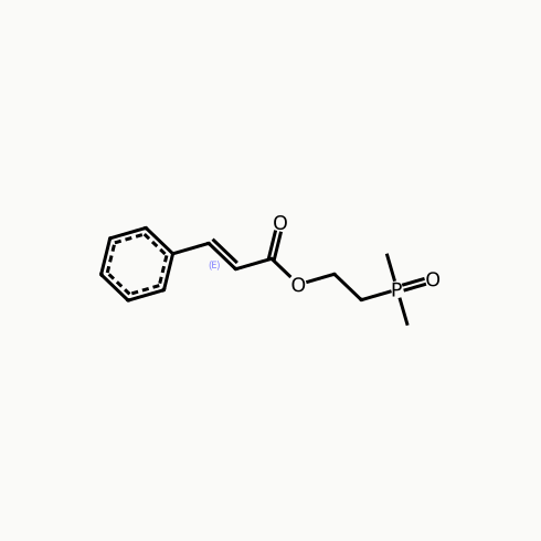 CP(C)(=O)CCOC(=O)/C=C/c1ccccc1